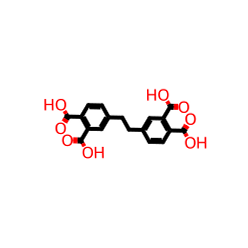 O=C(O)c1ccc(CCc2ccc(C(=O)O)c(C(=O)O)c2)cc1C(=O)O